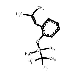 CC(C)=Cc1ccccc1O[Si](C)(C)C(C)(C)C